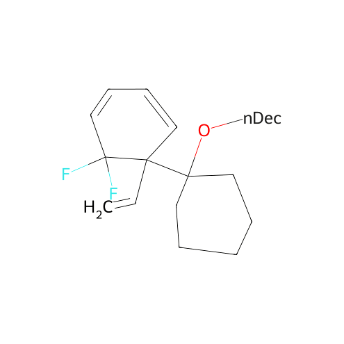 C=CC1(C2(OCCCCCCCCCC)CCCCC2)C=CC=CC1(F)F